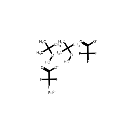 CC(C)(C)OO.CC(C)(C)OO.O=C([O-])C(F)(F)F.O=C([O-])C(F)(F)F.[Pd+2]